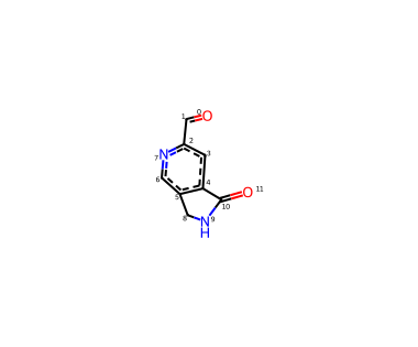 O=Cc1cc2c(cn1)CNC2=O